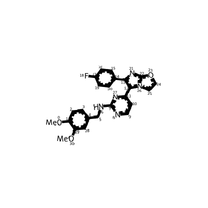 COc1ccc(CNc2nccc(-c3c(-c4ccc(F)cc4)nc4occn34)n2)cc1OC